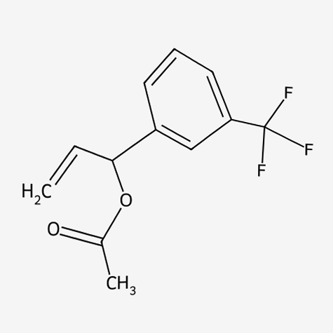 C=CC(OC(C)=O)c1cccc(C(F)(F)F)c1